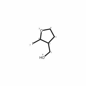 OCC1CCOC1I